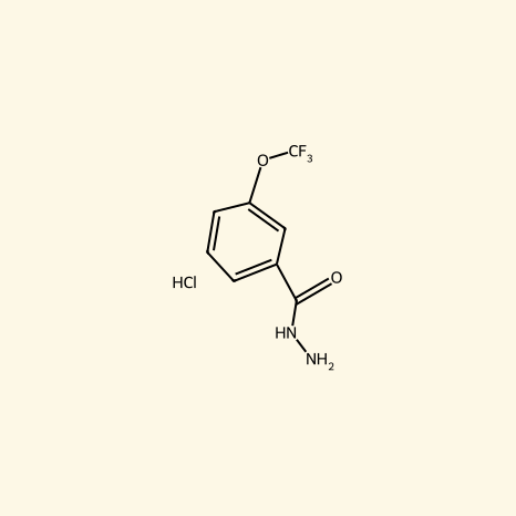 Cl.NNC(=O)c1cccc(OC(F)(F)F)c1